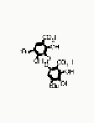 CC(C)(C)c1cc(OOc2c(O)c(C(=O)O)cc(C(C)(C)C)c2O)c(C(=O)O)c(O)c1O